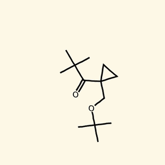 CC(C)(C)OCC1(C(=O)C(C)(C)C)CC1